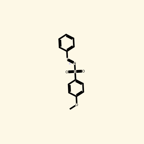 COc1ccc(S(=O)(=O)/N=I/c2ccccc2)cc1